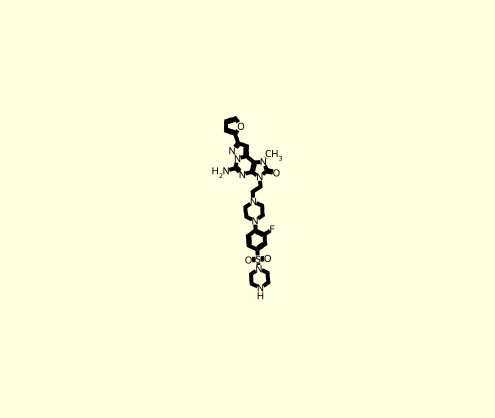 Cn1c(=O)n(CCN2CCN(c3ccc(S(=O)(=O)N4CCNCC4)cc3F)CC2)c2nc(N)n3nc(-c4ccco4)cc3c21